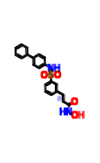 O=C(/C=C/c1cccc(S(=O)(=O)Nc2ccc(-c3ccccc3)cc2)c1)NO